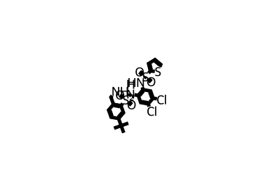 CC(C)(C)c1ccc(CN)c(S(=O)(=O)Nc2cc(Cl)c(Cl)cc2NS(=O)(=O)c2cccs2)c1